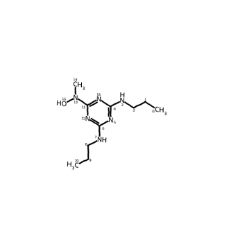 CCCNc1nc(NCCC)nc(N(C)O)n1